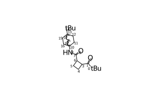 CC(C)(C)C(=O)C1CCC1C(=O)NC12CCC(C(C)(C)C)(CC1)CC2